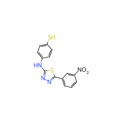 O=[N+]([O-])c1cccc(-c2nnc(Nc3ccc(S)cc3)s2)c1